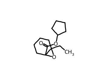 CCC12CCCCC1(C(=O)OC1CCCC1)O2